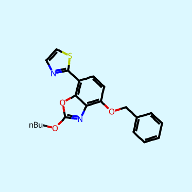 CCCCOc1nc2c(OCc3ccccc3)ccc(-c3nccs3)c2o1